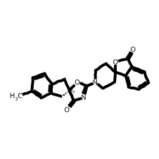 Cc1ccc2c(c1)C[C@]1(C2)OC(N2CCC3(CC2)OC(=O)c2ccccc23)=NC1=O